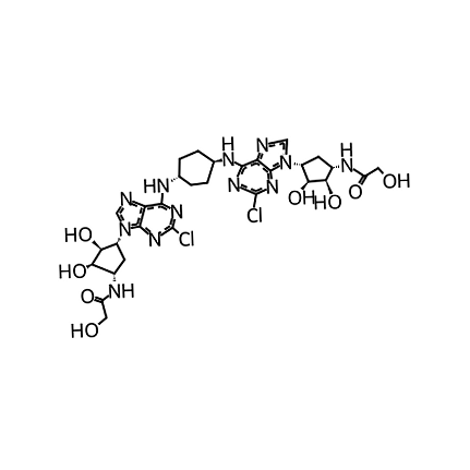 O=C(CO)N[C@H]1C[C@@H](n2cnc3c(N[C@H]4CC[C@H](Nc5nc(Cl)nc6c5ncn6[C@@H]5C[C@H](NC(=O)CO)[C@@H](O)[C@H]5O)CC4)nc(Cl)nc32)[C@H](O)[C@@H]1O